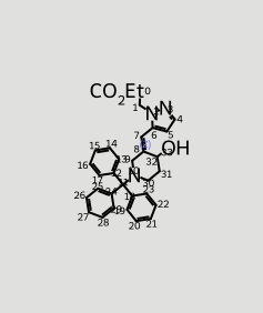 CCOC(=O)Cn1nccc1/C=C1/CN(C(c2ccccc2)(c2ccccc2)c2ccccc2)CCC1O